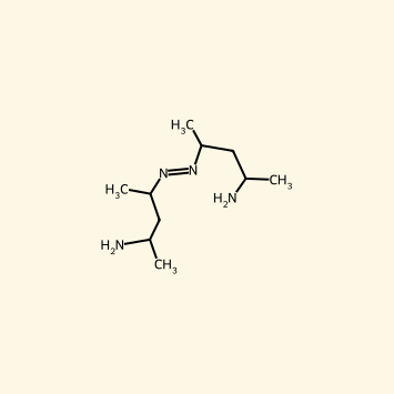 CC(N)CC(C)N=NC(C)CC(C)N